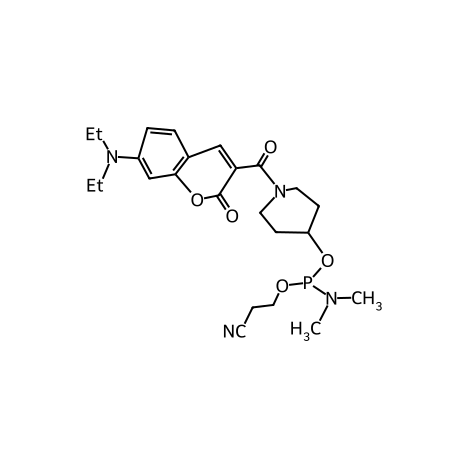 CCN(CC)c1ccc2cc(C(=O)N3CCC(OP(OCCC#N)N(C)C)CC3)c(=O)oc2c1